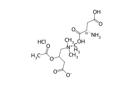 CC(=O)OC(CC(=O)[O-])C[N+](C)(C)C.Cl.N[C@@H](CC(=O)O)C(=O)O